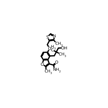 Cc1ncsc1COc1ccc2oc(C)c(C(N)=O)c2c1CC(C)(C)CO